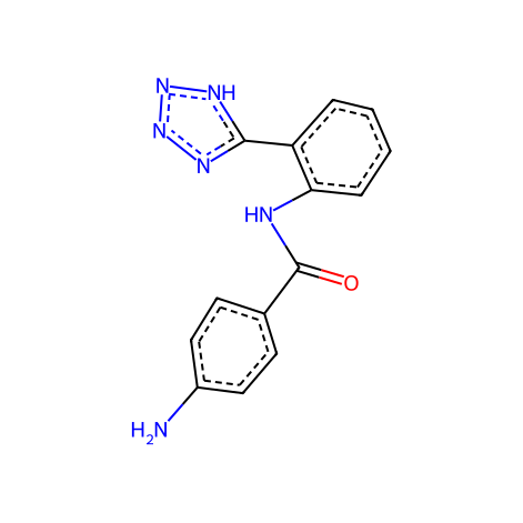 Nc1ccc(C(=O)Nc2ccccc2-c2nnn[nH]2)cc1